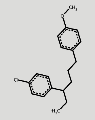 [CH2]CC(CCCc1ccc(OC)cc1)c1ccc(Cl)cc1